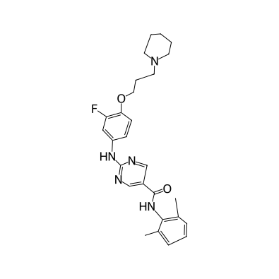 Cc1cccc(C)c1NC(=O)c1cnc(Nc2ccc(OCCCN3CCCCC3)c(F)c2)nc1